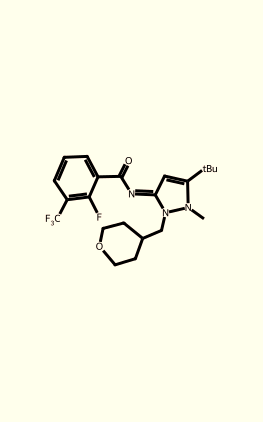 Cn1c(C(C)(C)C)cc(=NC(=O)c2cccc(C(F)(F)F)c2F)n1CC1CCOCC1